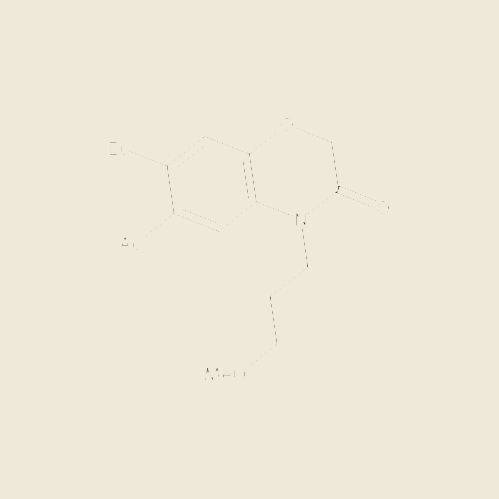 CCc1cc2c(cc1C(C)=O)N(CCCOC)C(=O)CO2